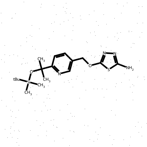 CC(C)(O[Si](C)(C)C(C)(C)C)c1ccc(COc2nnc(N)s2)cn1